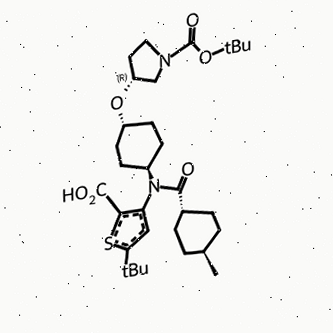 CC(C)(C)OC(=O)N1CC[C@@H](O[C@H]2CC[C@H](N(c3cc(C(C)(C)C)sc3C(=O)O)C(=O)[C@H]3CC[C@H](C)CC3)CC2)C1